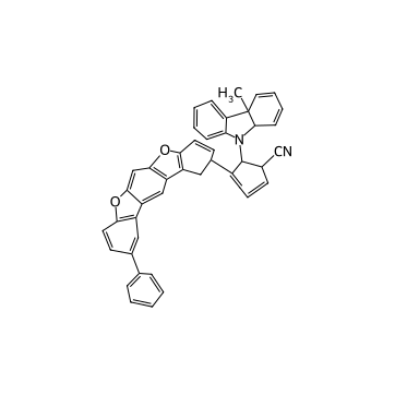 CC12C=CC=CC1N(C1C(C3C=Cc4oc5cc6oc7ccc(-c8ccccc8)cc7c6cc5c4C3)=CC=CC1C#N)c1ccccc12